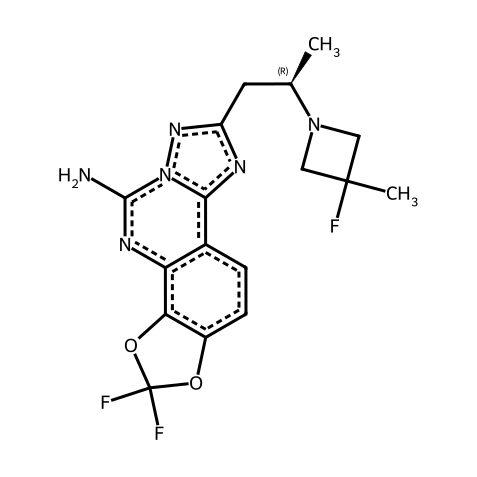 C[C@H](Cc1nc2c3ccc4c(c3nc(N)n2n1)OC(F)(F)O4)N1CC(C)(F)C1